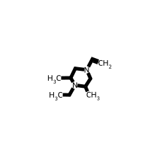 C=CN1CC(C)N(CC)C(C)C1